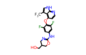 OCC1CN=C(Nc2cc(F)c(Oc3ccnc4[nH]cc(C(F)(F)F)c34)c(F)c2)OC1